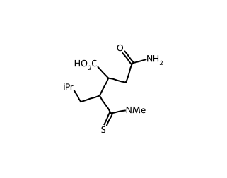 CNC(=S)C(CC(C)C)C(CC(N)=O)C(=O)O